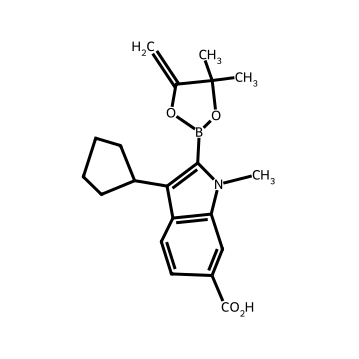 C=C1OB(c2c(C3CCCC3)c3ccc(C(=O)O)cc3n2C)OC1(C)C